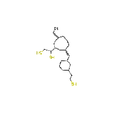 CCC=C1CCCC(=CC2CCCC(CCS)C2)CC(C(S)CS)C1